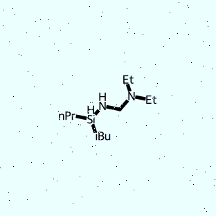 CCC[SiH](NCN(CC)CC)C(C)CC